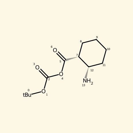 CC(C)(C)OC(=O)OC(=O)[C@@H]1CCCC[C@@H]1N